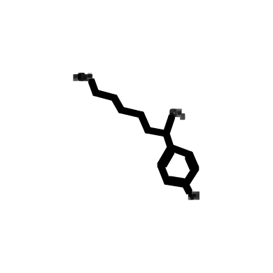 CCCCCCCCCCCCCC(C)c1ccc(S)cc1